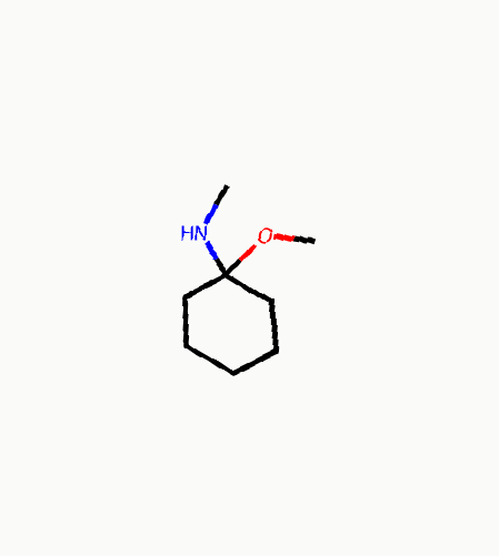 CNC1(OC)CCCCC1